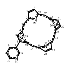 C1=Cc2cc3cc(-c4cccnc4)c(cc4nc(cc5ccc(cc1n2)[se]5)C=C4)[se]3